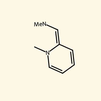 CN/C=C1/C=CC=CN1C